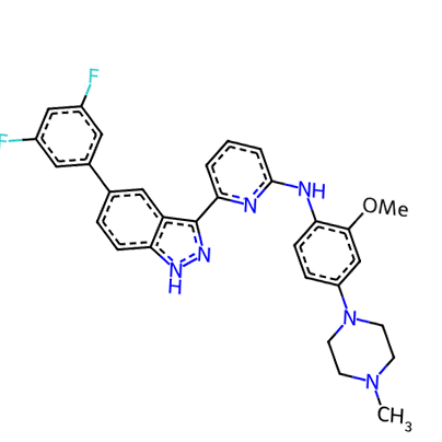 COc1cc(N2CCN(C)CC2)ccc1Nc1cccc(-c2n[nH]c3ccc(-c4cc(F)cc(F)c4)cc23)n1